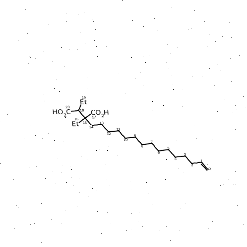 C=CCCCCCCCCCCCCCC(CC)(C(=O)O)C(CC)C(=O)O